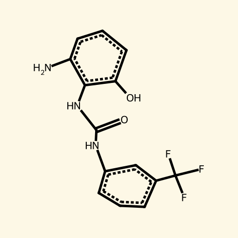 Nc1cccc(O)c1NC(=O)Nc1cccc(C(F)(F)F)c1